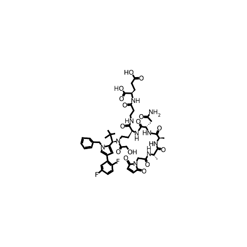 C[C@H](NC(=O)CN1C(=O)C=CC1=O)C(=O)N[C@H](C)C(=O)N[C@@H](CC(N)=O)C(=O)N[C@@H](CCN(C(=O)CO)[C@@H](c1cc(-c2cc(F)ccc2F)cn1Cc1ccccc1)C(C)(C)C)C(=O)NCCC(=O)N[C@H](CCC(=O)O)C(=O)O